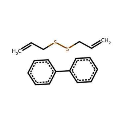 C=CCSSCC=C.c1ccc(-c2ccccc2)cc1